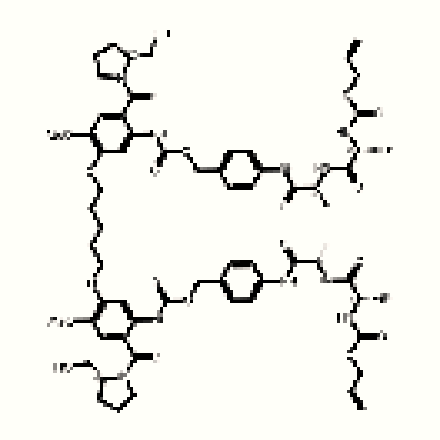 C=CCOC(=O)N[C@H](C(=O)N[C@@H](C)C(=O)Nc1ccc(COC(=O)Nc2cc(OCCCCCOc3cc(NC(=O)OCc4ccc(NC(=O)[C@H](C)NC(=O)[C@@H](NC(=O)OCC=C)C(C)C)cc4)c(C(=O)N4CCC[C@H]4CO)cc3OC)c(OC)cc2C(=O)N2CCC[C@H]2CO)cc1)C(C)C